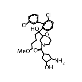 COCCCCC(O)(c1cccc(Cl)c1-c1cccc(Cl)c1)C1CN(C(=O)C2CC(N)C(O)C2)CCO1